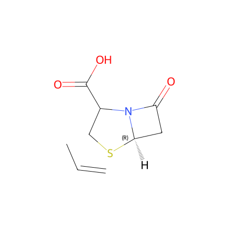 C=CC.O=C(O)C1CS[C@@H]2CC(=O)N12